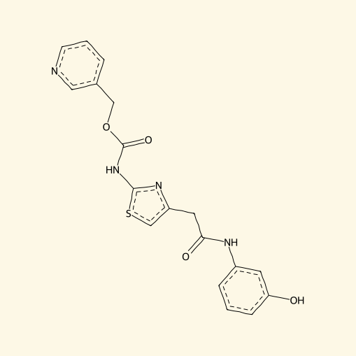 O=C(Cc1csc(NC(=O)OCc2cccnc2)n1)Nc1cccc(O)c1